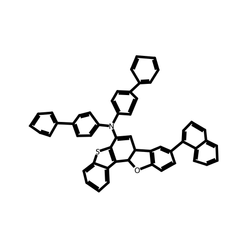 C1=C(N(c2ccc(-c3ccccc3)cc2)c2ccc(-c3ccccc3)cc2)c2sc3ccccc3c2C2Oc3ccc(-c4cccc5ccccc45)cc3C12